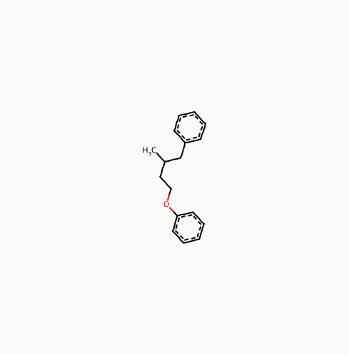 CC(CCOc1ccccc1)Cc1ccccc1